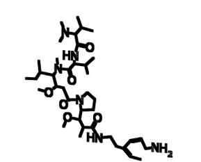 C/C=C(\C=C/CN)CCNC(=O)C(C)C(OC)C1CCCN1C(=O)CC(OC)C(C(C)CC)N(C)C(=O)[C@@H](NC(=O)C(C(C)C)N(C)C)C(C)C